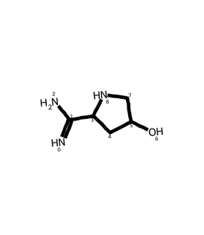 N=C(N)C1CC(O)CN1